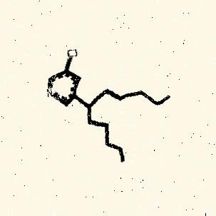 CCCCCC(CCCCC)c1cncc(Cl)c1